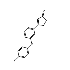 O=C1C=C(c2cccc(Oc3ccc(F)cc3)c2)CC1